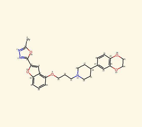 CC(C)c1nnc(-c2cc3c(OCCCN4CCC(c5ccc6c(c5)OCCO6)CC4)cccc3o2)o1